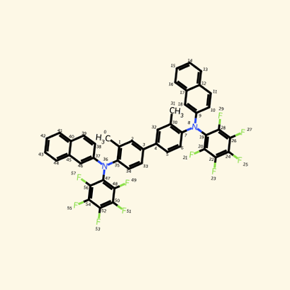 Cc1cc(-c2ccc(N(c3ccc4ccccc4c3)c3c(F)c(F)c(F)c(F)c3F)c(C)c2)ccc1N(c1ccc2ccccc2c1)c1c(F)c(F)c(F)c(F)c1F